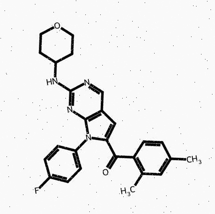 Cc1ccc(C(=O)c2cc3cnc(NC4CCOCC4)nc3n2-c2ccc(F)cc2)c(C)c1